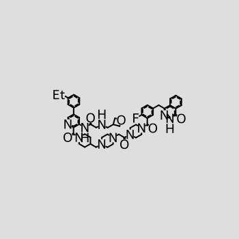 CCc1cccc(-c2cnc(C(=O)N3CCC(CN4CCN(CC(=O)N5CCN(C(=O)c6cc(Cc7n[nH]c(=O)c8ccccc78)ccc6F)CC5)CC4)CC3)c(NC(=O)CNCC3COC3)c2)c1